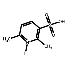 Cc1ccc(S(=O)(=O)O)c(C)[n+]1F